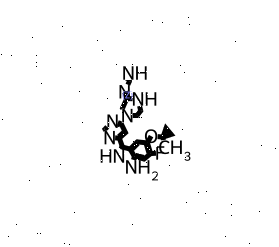 CC1(Oc2cc(C(=N)c3cc(N4CCN/C(=N\C=N)C4)ncn3)c(N)cc2F)CC1